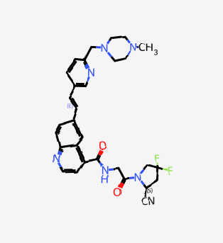 CN1CCN(Cc2ccc(/C=C/c3ccc4nccc(C(=O)NCC(=O)N5CC(F)(F)C[C@H]5C#N)c4c3)cn2)CC1